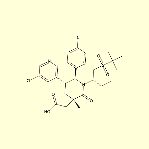 CC[C@@H](CS(=O)(=O)C(C)(C)C)N1C(=O)[C@](C)(CC(=O)O)C[C@H](c2cncc(Cl)c2)[C@H]1c1ccc(Cl)cc1